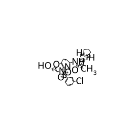 C[C@H](C(=O)Nc1ccc2c(n1)N(S(=O)(=O)c1cccc(Cl)c1)C[C@H](CO)O2)[C@@H]1C[C@H]2CCC[C@H]2C1